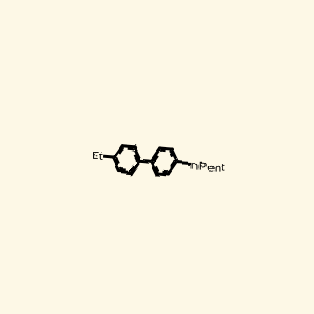 CCCCCc1ccc(-c2ccc(CC)cc2)cc1